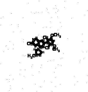 COc1cc(OC)c(Cl)c(-c2cc3cnc(Cl)cc3c(N3CCC(C)C3)n2)c1Cl